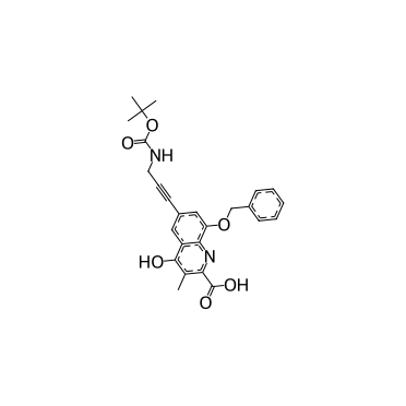 Cc1c(C(=O)O)nc2c(OCc3ccccc3)cc(C#CCNC(=O)OC(C)(C)C)cc2c1O